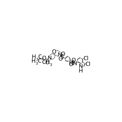 CC(C)(C)OC(=O)N1CCC2(CC1)CN(S(=O)(=O)c1ccc(S(=O)(=O)Nc3ccc(Cl)c4c(Cl)c[nH]c34)cc1)CCO2